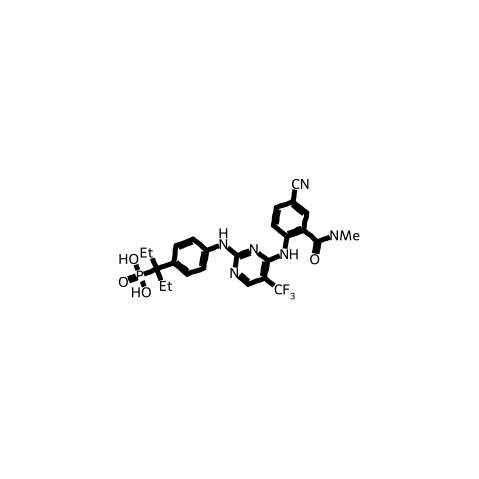 CCC(CC)(c1ccc(Nc2ncc(C(F)(F)F)c(Nc3ccc(C#N)cc3C(=O)NC)n2)cc1)P(=O)(O)O